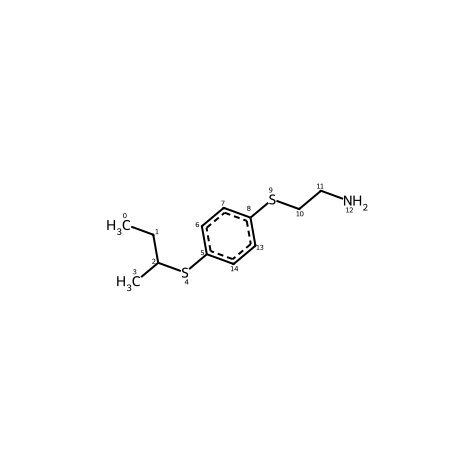 CCC(C)Sc1ccc(SCCN)cc1